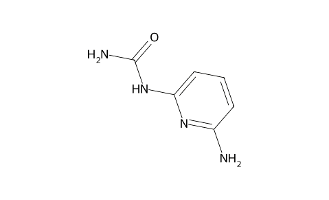 NC(=O)Nc1cccc(N)n1